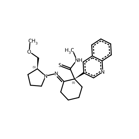 CNC(=S)[C@]1(c2cnc3ccccc3c2)CCCCC1=NN1CCC[C@H]1COC